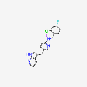 Fc1ccc(CN(I)c2ccc(Cc3c[nH]c4ncccc34)cn2)c(Cl)c1